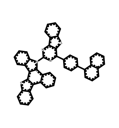 c1ccc2c(-c3ccc(-c4nc(-n5c6ccccc6c6c7sc8ccccc8c7c7ccccc7c65)nc5c4sc4ccccc45)cc3)cccc2c1